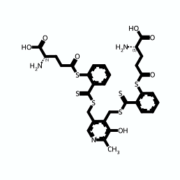 Cc1ncc(CSC(=S)c2ccccc2SC(=O)CC[C@H](N)C(=O)O)c(CSC(=S)c2ccccc2SC(=O)CC[C@H](N)C(=O)O)c1O